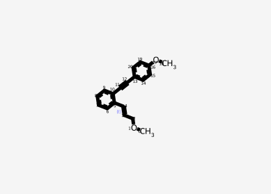 COC/C=C/c1ccccc1C#Cc1ccc(OC)cc1